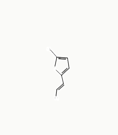 CC/C=C/c1ccc(Cl)s1